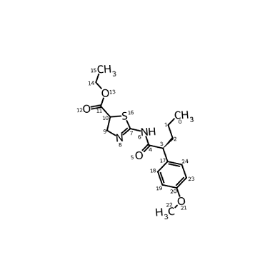 CCC[C@H](C(=O)NC1=NCC(C(=O)OCC)S1)c1ccc(OC)cc1